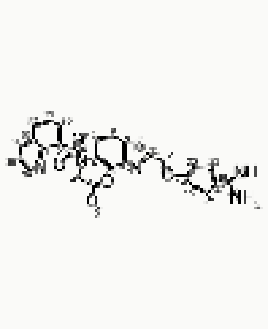 COC(=O)CN(c1ccc2sc(COc3ccc(C(=N)N)cc3)nc2c1)S(=O)(=O)c1cccc2cccnc12